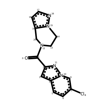 O=C(c1cc2ccc(Cl)cn2n1)N1CCn2nccc2C1